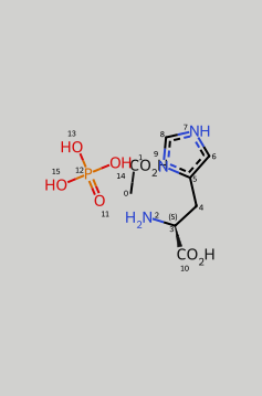 CC(=O)O.N[C@@H](Cc1c[nH]cn1)C(=O)O.O=P(O)(O)O